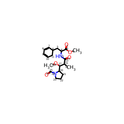 COC(=O)C(CC1C=CC=CC1)NC(=O)C(C)C(OC)C1CCCN1C=O